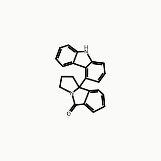 O=C1c2ccccc2C2(c3cccc4[nH]c5ccccc5c34)CCCN12